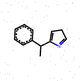 CC(C1=CCC=N1)c1ccccc1